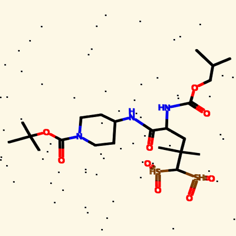 CC(C)COC(=O)NC(CC(C)(C)C([SH](=O)=O)[SH](=O)=O)C(=O)NC1CCN(C(=O)OC(C)(C)C)CC1